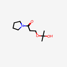 CC(C)(O)OCCC(=O)N1CCCC1